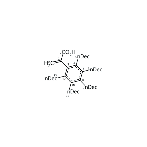 C=C(C(=O)O)c1c(CCCCCCCCCC)c(CCCCCCCCCC)c(CCCCCCCCCC)c(CCCCCCCCCC)c1CCCCCCCCCC